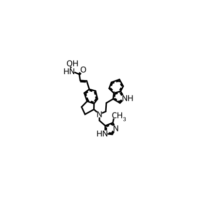 Cc1nc[nH]c1CN(CCc1c[nH]c2ccccc12)C1CCc2cc(C=CC(=O)NO)ccc21